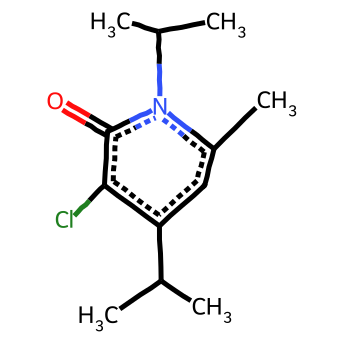 Cc1cc(C(C)C)c(Cl)c(=O)n1C(C)C